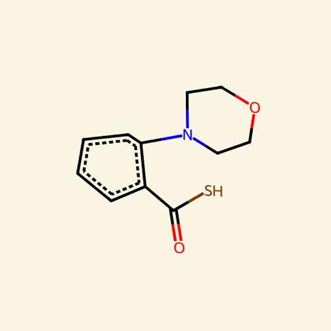 O=C(S)c1ccccc1N1CCOCC1